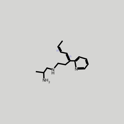 C/C=C\C=C(/CCNCC(C)N)c1ccccn1